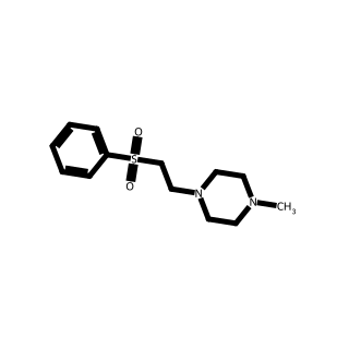 CN1CCN(CCS(=O)(=O)c2ccccc2)CC1